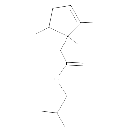 CC1=CCC(C)C1(C)CC(=O)OCC(C)C